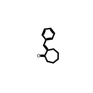 O=C1CCCCCC1=Cc1ccccc1